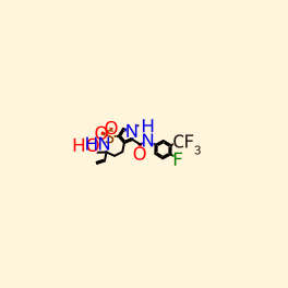 C=CC1(CO)CCc2c(cn(C)c2C(=O)Nc2ccc(F)c(C(F)(F)F)c2)S(=O)(=O)N1